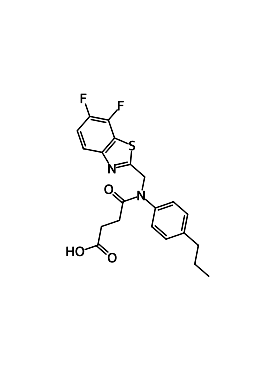 CCCc1ccc(N(Cc2nc3ccc(F)c(F)c3s2)C(=O)CCC(=O)O)cc1